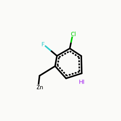 Fc1c(Cl)cccc1[CH2][Zn].I